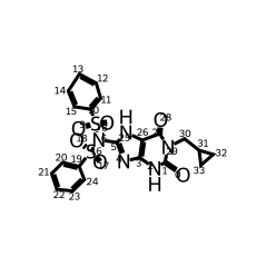 O=c1[nH]c2nc(N(S(=O)(=O)c3ccccc3)S(=O)(=O)c3ccccc3)[nH]c2c(=O)n1CC1CC1